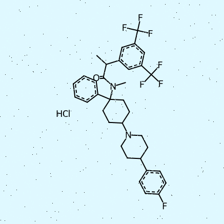 CC(C(=O)N(C)C1(c2ccccc2)CCC(N2CCC(c3ccc(F)cc3)CC2)CC1)c1cc(C(F)(F)F)cc(C(F)(F)F)c1.Cl